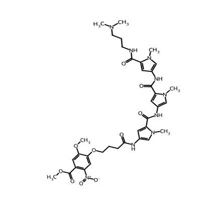 COC(=O)c1cc(OC)c(OCCCC(=O)Nc2cc(C(=O)Nc3cc(C(=O)Nc4cc(C(=O)NCCCN(C)C)n(C)c4)n(C)c3)n(C)c2)cc1[N+](=O)[O-]